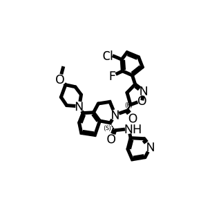 COC1CCN(c2cccc3c2CCN(C(=O)[C@H]2CC(c4cccc(Cl)c4F)=NO2)[C@@H]3C(=O)Nc2cccnc2)CC1